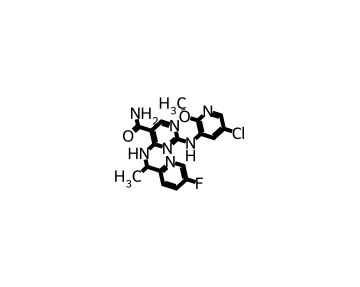 COc1ncc(Cl)cc1Nc1ncc(C(N)=O)c(NC(C)c2ccc(F)cn2)n1